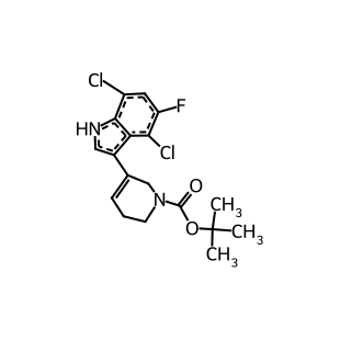 CC(C)(C)OC(=O)N1CCC=C(c2c[nH]c3c(Cl)cc(F)c(Cl)c23)C1